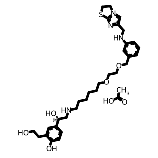 CC(=O)O.OCCc1cc([C@@H](O)CNCCCCCCOCCOCc2cccc(NCc3cn4c(n3)SCC4)c2)ccc1O